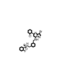 O=S(=O)(NCc1cccc(CNc2cc(-c3ccccc3Cl)nc3c(Br)cnn23)c1)c1ccccc1F